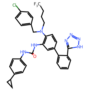 O=C(Nc1ccc(C2CC2)cc1)Nc1cc(-c2ccccc2-c2nnn[nH]2)ccc1N(CCCC(F)(F)F)Cc1ccc(Cl)cc1